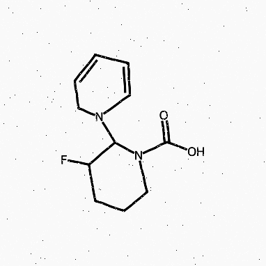 O=C(O)N1CCCC(F)C1N1C=CC=CC1